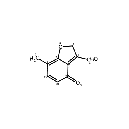 CC1=C2OCC(C=O)=C2C(=O)C=C1